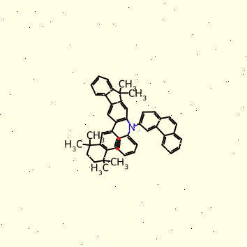 CC1(C)CCC(C)(C)c2cc(-c3cc4c(cc3N(c3ccccc3)c3ccc5ccc6ccccc6c5c3)C(C)(C)c3ccccc3-4)ccc21